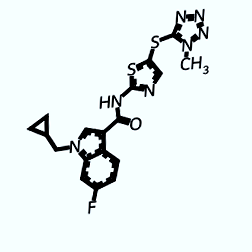 Cn1nnnc1Sc1cnc(NC(=O)c2cn(CC3CC3)c3cc(F)ccc23)s1